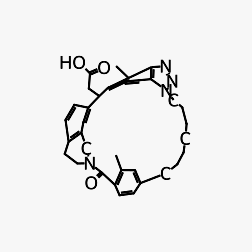 Cc1cc2ccc1C(=O)N1CCc3ccc(cc3C1)C(CC(=O)O)c1ccc3c(nnn3CCCCCCC2)c1C